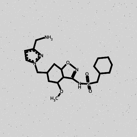 COC1CC(Cn2ccc(CN)n2)CC2ON=C(NS(=O)(=O)CC3CCCCC3)C12